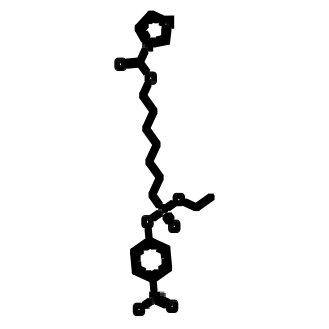 CCOP(=O)(CCCCCCCOC(=O)n1ccnc1)Oc1ccc([N+](=O)[O-])cc1